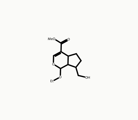 CCOC1OC=C(C(=O)OC)C2CCC(CO)C12